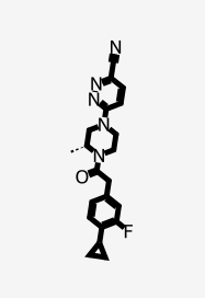 C[C@@H]1CN(c2ccc(C#N)nn2)CCN1C(=O)Cc1ccc(C2CC2)c(F)c1